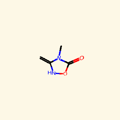 C=C1NOC(=O)N1C